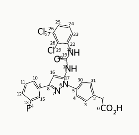 O=C(O)Cc1ccc(-n2nc(-c3cccc(F)c3)cc2NC(=O)Nc2cccc(Cl)c2Cl)cc1